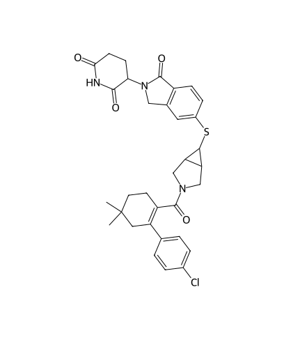 CC1(C)CCC(C(=O)N2CC3C(C2)C3Sc2ccc3c(c2)CN(C2CCC(=O)NC2=O)C3=O)=C(c2ccc(Cl)cc2)C1